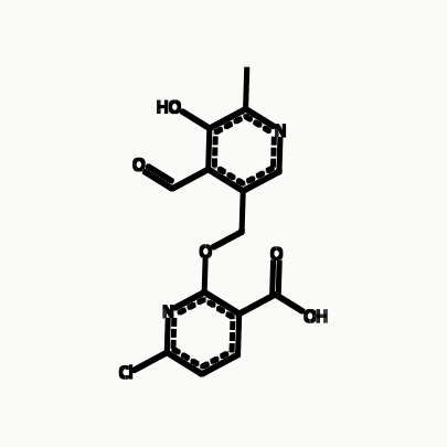 Cc1ncc(COc2nc(Cl)ccc2C(=O)O)c(C=O)c1O